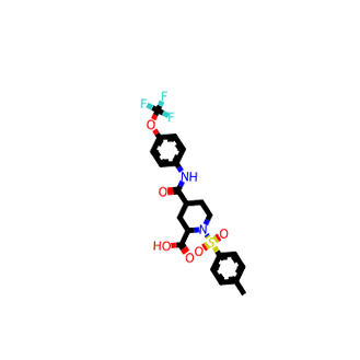 Cc1ccc(S(=O)(=O)N2CCC(C(=O)Nc3ccc(OC(F)(F)F)cc3)CC2C(=O)O)cc1